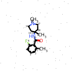 Cc1cccc(F)c1C(=O)NC1(C)CCN(C)CC1